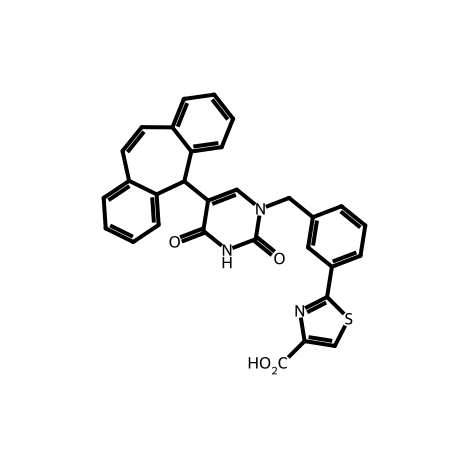 O=C(O)c1csc(-c2cccc(Cn3cc(C4c5ccccc5C=Cc5ccccc54)c(=O)[nH]c3=O)c2)n1